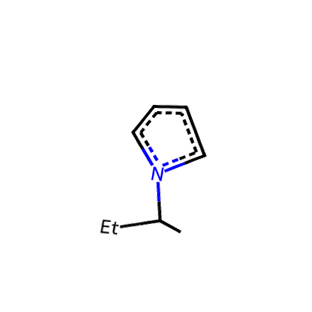 [CH2]CC(C)n1cccc1